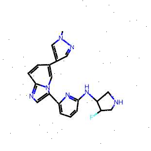 Cn1cc(-c2ccc3ncc(-c4cccc(NC5CNCC5F)n4)n3c2)cn1